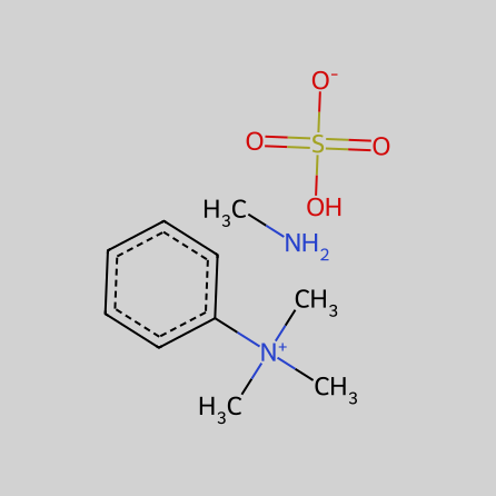 CN.C[N+](C)(C)c1ccccc1.O=S(=O)([O-])O